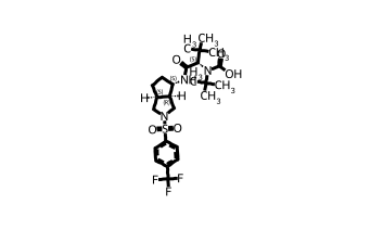 CC(C)(C)[C@@H](C(=O)N[C@H]1CC[C@@H]2CN(S(=O)(=O)c3ccc(C(F)(F)F)cc3)C[C@@H]21)N(C(=O)O)C(C)(C)C